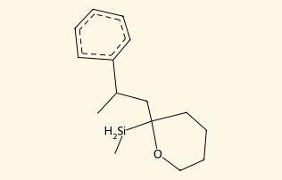 C[SiH2]C1(CC(C)c2ccccc2)CCCCO1